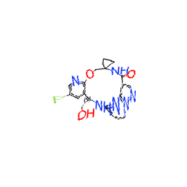 O=C1NC2(CC2)COc2ncc(F)cc2[C@@H](CO)Nc2ccn3ncc1c3n2